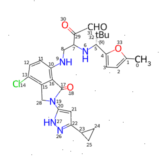 Cc1ccc([C@H](NC(CNc2ccc(Cl)c3c2C(=O)N(c2cc(C4CC4)n[nH]2)C3)C(=O)C=O)C(C)(C)C)o1